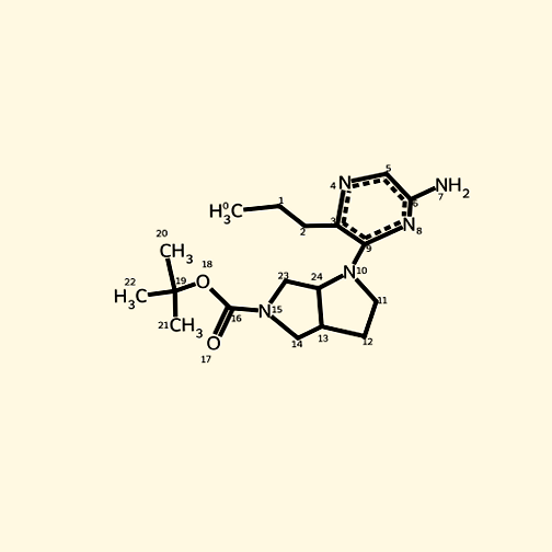 CCCc1ncc(N)nc1N1CCC2CN(C(=O)OC(C)(C)C)CC21